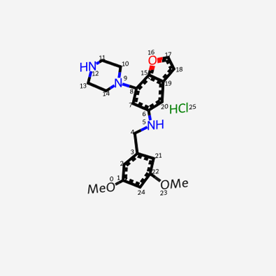 COc1cc(CNc2cc(N3CCNCC3)c3occc3c2)cc(OC)c1.Cl